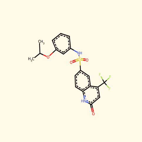 CC(C)Oc1cccc(NS(=O)(=O)c2ccc3[nH]c(=O)cc(C(F)(F)F)c3c2)c1